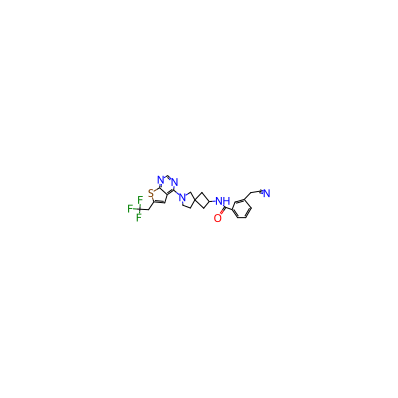 N#CCc1cccc(C(=O)NC2CC3(CCN(c4ncnc5sc(CC(F)(F)F)cc45)C3)C2)c1